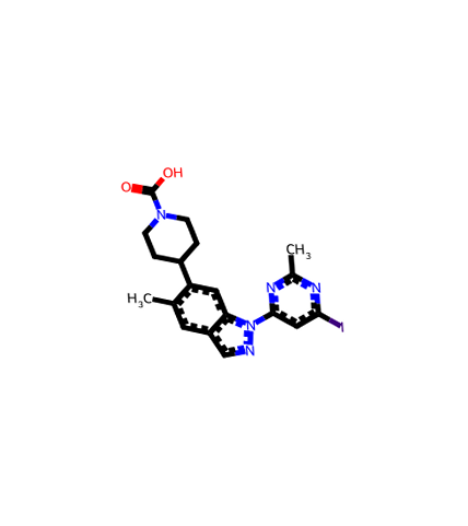 Cc1nc(I)cc(-n2ncc3cc(C)c(C4CCN(C(=O)O)CC4)cc32)n1